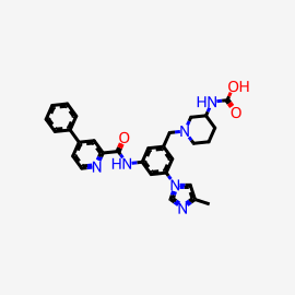 Cc1cn(-c2cc(CN3CCCC(NC(=O)O)C3)cc(NC(=O)c3cc(-c4ccccc4)ccn3)c2)cn1